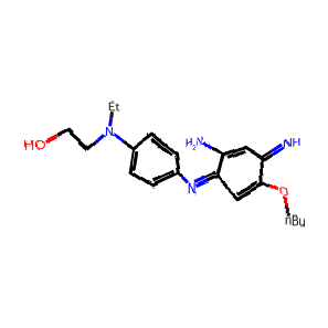 CCCCOC1=CC(=Nc2ccc(N(CC)CCO)cc2)C(N)=CC1=N